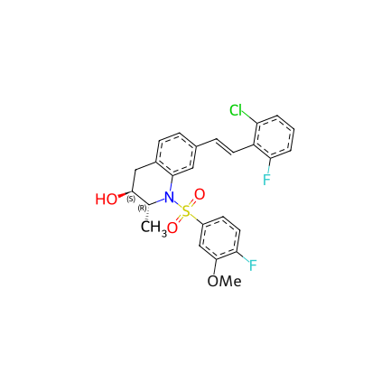 COc1cc(S(=O)(=O)N2c3cc(C=Cc4c(F)cccc4Cl)ccc3C[C@H](O)[C@H]2C)ccc1F